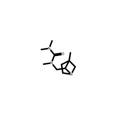 CN(C)C(=O)N(C)CC1N2CCC1(C)C2